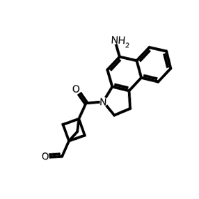 Nc1cc2c(c3ccccc13)CCN2C(=O)C12CC(C=O)(C1)C2